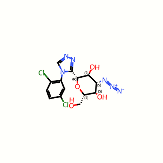 [N-]=[N+]=N[C@@H]1[C@H](O)[C@H](CO)O[C@H](c2nncn2-c2cc(Cl)ccc2Cl)[C@H]1O